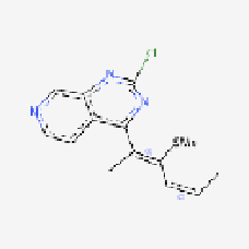 C/C=C\C(SC)=C(/C)c1nc(Cl)nc2cnccc12